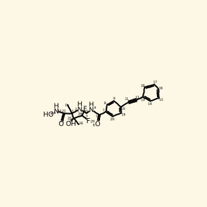 CC(NCNC(=O)c1ccc(C#Cc2ccccc2)cc1)(C(=O)NO)C(C)(O)C(F)F